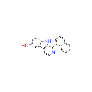 Oc1ccc2[nH]c3c(-c4cccc5ccccc45)nccc3c2c1